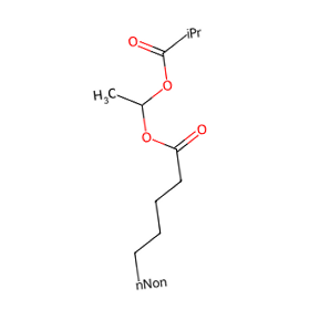 CCCCCCCCCCCCCC(=O)OC(C)OC(=O)C(C)C